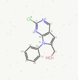 OCc1cc2cnc(Cl)nc2n1-c1ccccc1